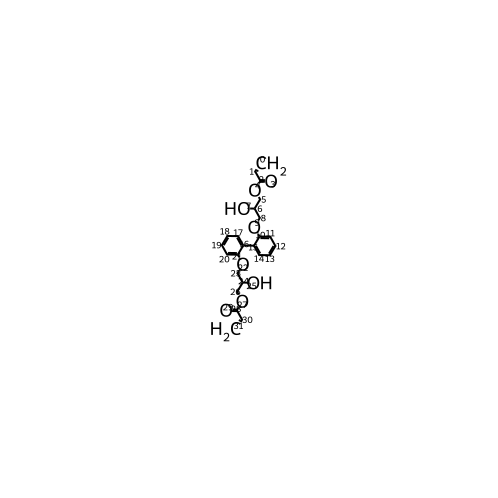 C=CC(=O)OCC(O)COc1ccccc1-c1ccccc1OCC(O)COC(=O)C=C